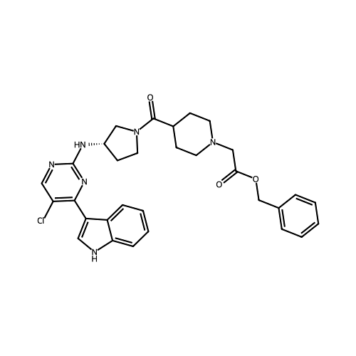 O=C(CN1CCC(C(=O)N2CC[C@H](Nc3ncc(Cl)c(-c4c[nH]c5ccccc45)n3)C2)CC1)OCc1ccccc1